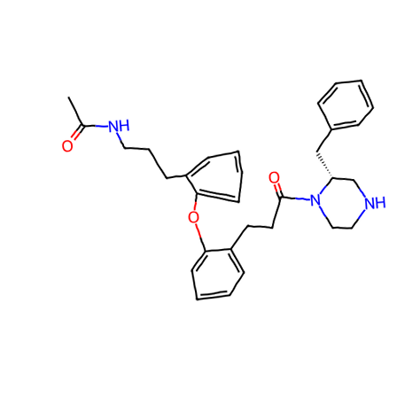 CC(=O)NCCCc1ccccc1Oc1ccccc1CCC(=O)N1CCNC[C@H]1Cc1ccccc1